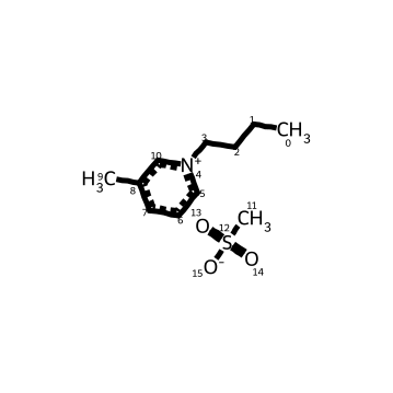 CCCC[n+]1cccc(C)c1.CS(=O)(=O)[O-]